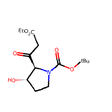 CCOC(=O)CC(=O)[C@@H]1[C@@H](O)CCN1C(=O)OC(C)(C)C